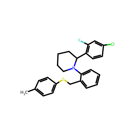 Cc1ccc(SCc2ccccc2N2CCCCC2c2ccc(Cl)cc2F)cc1